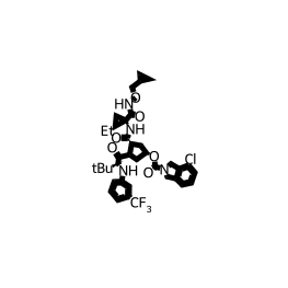 CC[C@@H]1C[C@]1(NC(=O)[C@@H]1C[C@@H](OC(=O)N2Cc3cccc(Cl)c3C2)CC1C(=O)[C@@H](Nc1cccc(C(F)(F)F)c1)C(C)(C)C)C(=O)NOCC1CC1